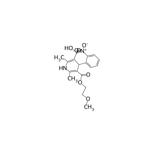 COCCOC(=O)C1=C(C)NC(C)=C(C(=O)O)C1c1ccccc1[N+](=O)[O-]